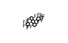 Fc1c(F)c(F)c(-c2c3ccccc3c(-c3c(F)c(F)c(C(F)(F)F)c(F)c3F)c3cccc(F)c23)c(F)c1F